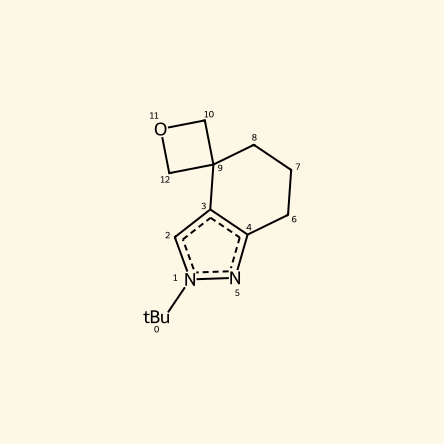 CC(C)(C)n1cc2c(n1)CCCC21COC1